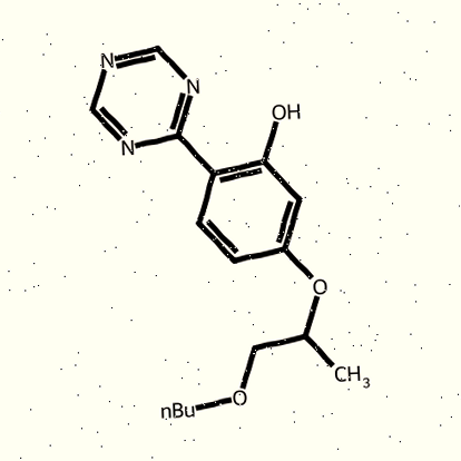 CCCCOCC(C)Oc1ccc(-c2ncncn2)c(O)c1